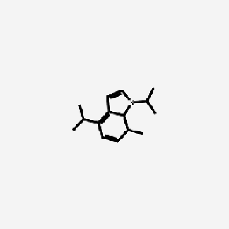 CC(C)C1=C2C=CN(C(C)C)C2C(C)C=C1